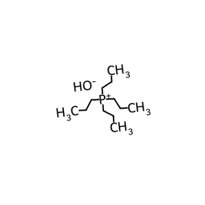 CCC[P+](CCC)(CCC)CCC.[OH-]